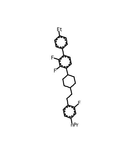 CCCc1ccc(CCC2CCC(c3ccc(-c4ccc(CC)cc4)c(F)c3F)CC2)c(F)c1